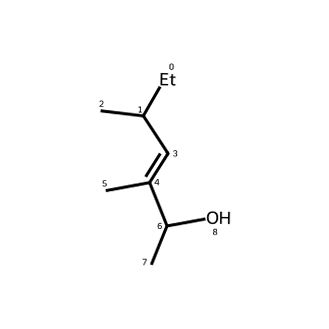 CCC(C)/C=C(\C)C(C)O